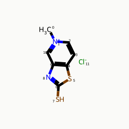 C[n+]1ccc2sc(S)nc2c1.[Cl-]